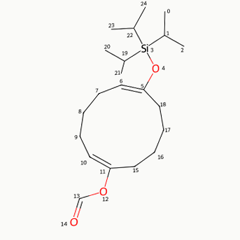 CC(C)[Si](O/C1=C/CCC/C=C(/OC=O)CCCC1)(C(C)C)C(C)C